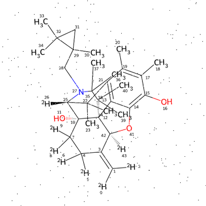 [2H]C([2H])=C1C([2H])([2H])C([2H])([2H])[C@]2(O)[C@]34c5c(c(O)c(C)c(C)c5C(C)(C)[C@@]2([2H])N(CC2(C)CC2(C)C)C(C)(C)C3(C)C)O[C@@]14[2H]